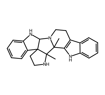 CC12c3[nH]c4ccccc4c3CCN1C1Nc3ccccc3C13CCNC32C